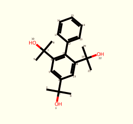 CC(C)(O)c1cc(C(C)(C)O)c(-c2ccccc2)c(C(C)(C)O)c1